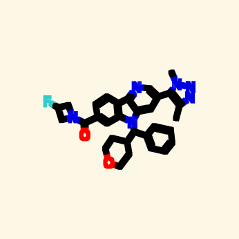 Cc1nnn(C)c1-c1cnc2c3ccc(C(=O)N4CC(F)C4)cc3n(C(c3ccccc3)C3CCOCC3)c2c1